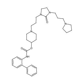 O=C(Nc1ccccc1-c1ccccc1)OC1CCN(CCCN2CCN(CCCN3CCCC3)C2=O)CC1